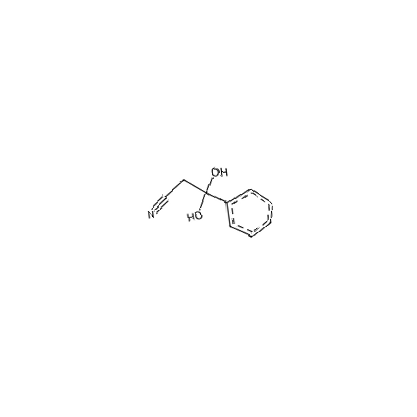 N#CCC(O)(O)c1ccccc1